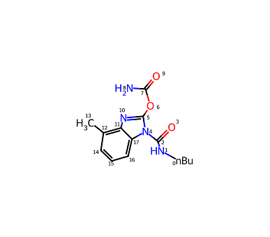 CCCCNC(=O)n1c(OC(N)=O)nc2c(C)cccc21